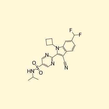 CC(C)NS(=O)(=O)c1cnc(-c2c(C#N)c3ccc(C(F)F)cc3n2C2CCC2)nc1